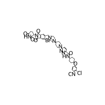 N#Cc1ccc(OC2CCC(NC(=O)c3ccc(N4CCC(N5CCN(Cc6cc7c(cc6Br)C(=O)N(C6CCC(=O)NC6=O)C7=O)CC5)CC4)nn3)CC2)cc1Cl